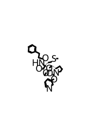 COC(=O)[C@@](CCSC)(NC(=O)CCc1ccccc1)OC[C@@H]1CCCN1C(=O)Oc1cccnc1